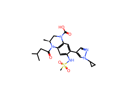 CC(C)CC(=O)N1c2cc(NS(C)(=O)=O)c(-c3cnn(C4CC4)c3)cc2N(C(=O)O)C[C@@H]1C